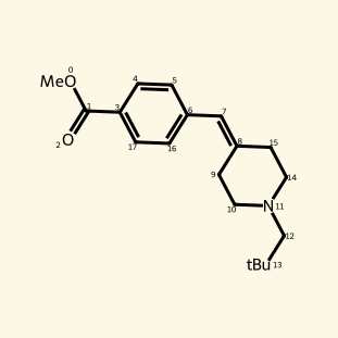 COC(=O)c1ccc(C=C2CCN(CC(C)(C)C)CC2)cc1